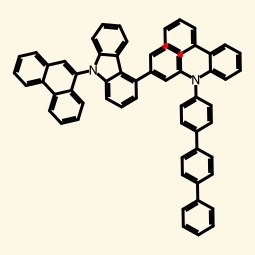 c1ccc(-c2ccc(-c3ccc(N(c4cccc(-c5cccc6c5c5ccccc5n6-c5cc6ccccc6c6ccccc56)c4)c4ccccc4-c4ccccc4)cc3)cc2)cc1